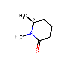 C[C@H]1CCCC(=O)N1C